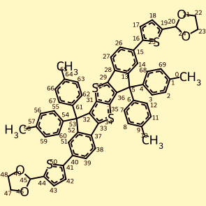 Cc1ccc(C2(c3ccc(C)cc3)c3cc(-c4ccc(C5OCCO5)s4)ccc3-c3sc4c5c(sc4c32)-c2ccc(-c3ccc(C4OCCO4)s3)cc2C5(c2ccc(C)cc2)c2ccc(C)cc2)cc1